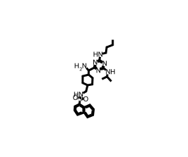 CCCCNc1nc(NC(C)C)nc(C(N)C2CCC(CNS(=O)(=O)c3cccc4ccccc34)CC2)n1